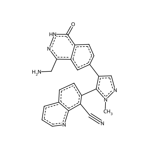 Cn1ncc(-c2ccc3c(=O)[nH]nc(CN)c3c2)c1-c1ccc2cccnc2c1C#N